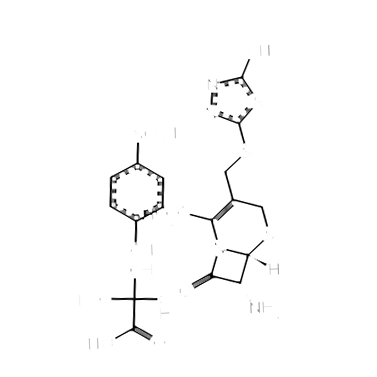 CC(C)(C)C(=O)O.Cc1ccc(S(=O)(=O)O)cc1.Cc1nnc(SCC2=C(C(=O)O)N3C(=O)[C@@H](N)[C@H]3SC2)s1